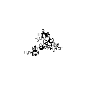 Nc1nc2c(ncn2[C@@H]2O[C@H](COP(N)(=O)O)[C@@H](NP(=O)(O)OC[C@@H]3CC[C@H](n4cnc5c(N)ncnc54)O3)[C@H]2O)c(=O)[nH]1